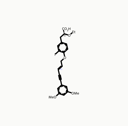 CCO[C@@H](Cc1ccc(OC/C=C/C#Cc2cc(OC)cc(OC)c2)c(I)c1)C(=O)O